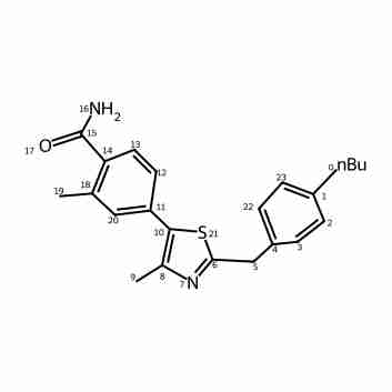 CCCCc1ccc(Cc2nc(C)c(-c3ccc(C(N)=O)c(C)c3)s2)cc1